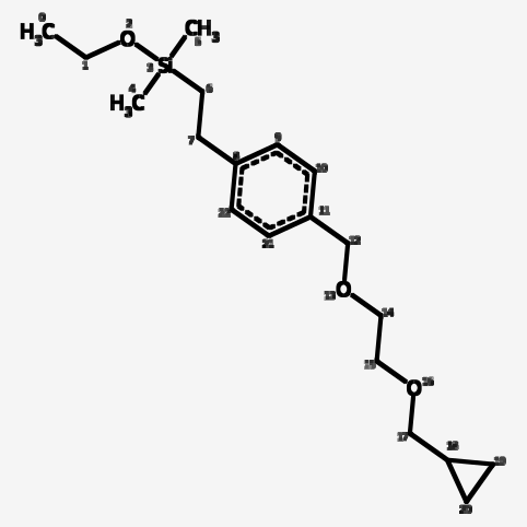 CCO[Si](C)(C)CCc1ccc(COCCOCC2CC2)cc1